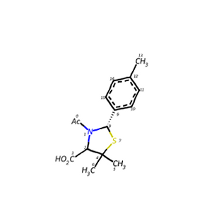 CC(=O)N1C(C(=O)O)C(C)(C)S[C@H]1c1ccc(C)cc1